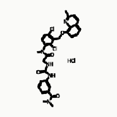 Cc1ccc2cccc(OCc3c(Cl)ccc(N(C)C(=O)CNC(=O)Nc4cccc(C(=O)N(C)C)c4)c3Cl)c2n1.Cl